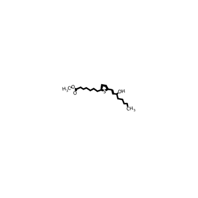 CCCCCC(O)C=Cc1ccc(CCCCCCC(=O)OC)s1